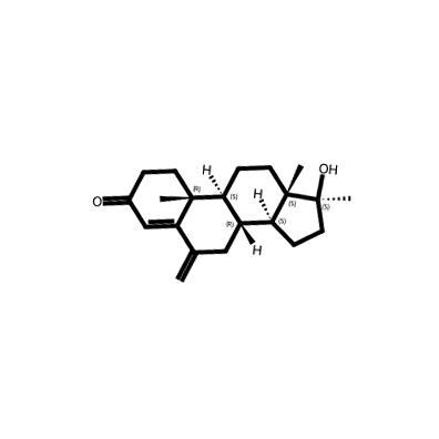 C=C1C[C@@H]2[C@H](CC[C@@]3(C)[C@H]2CC[C@]3(C)O)[C@@]2(C)CCC(=O)C=C12